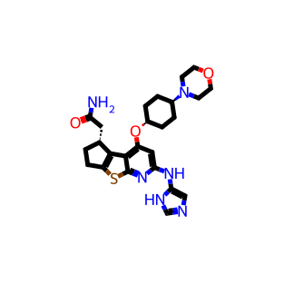 NC(=O)C[C@H]1CCc2sc3nc(Nc4cnc[nH]4)cc(O[C@H]4CC[C@H](N5CCOCC5)CC4)c3c21